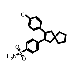 NS(=O)(=O)c1ccc(C2=C(c3ccc(Cl)cc3)CC3(CCCC3)C2)cc1